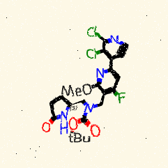 COc1nc(-c2ccnc(Cl)c2Cl)cc(F)c1CN(C[C@@H]1CCC(=O)N1)C(=O)OC(C)(C)C